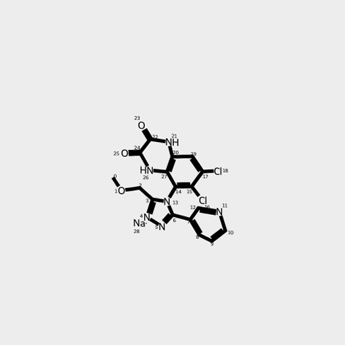 COCc1nnc(-c2cccnc2)n1-c1c(Cl)c(Cl)cc2[nH]c(=O)c(=O)[nH]c12.[Na]